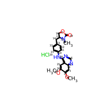 COc1cc2ncnc(Nc3ccc(CC4COC(=O)N4C)cc3)c2cc1OC.Cl